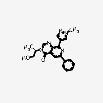 C[C@@H](CO)n1cnc2c(-c3cnn(C)c3)nc(-c3ccccc3)cc2c1=O